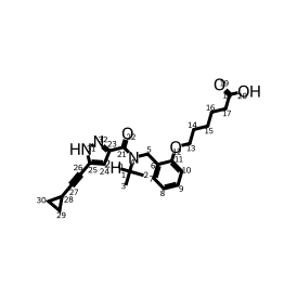 [2H]C(C)(C)N(Cc1ccccc1OCCCCCC(=O)O)C(=O)c1cc(C#CC2CC2)[nH]n1